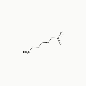 [O]C(=O)CCCCCC(=O)O